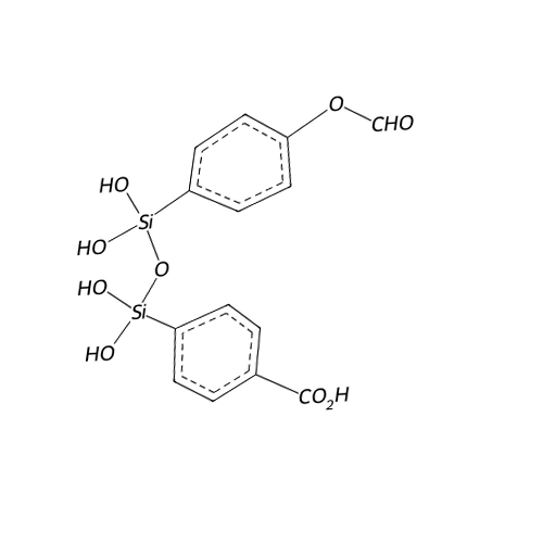 O=COc1ccc([Si](O)(O)O[Si](O)(O)c2ccc(C(=O)O)cc2)cc1